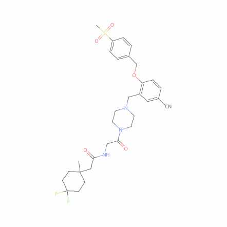 CC1(CC(=O)NCC(=O)N2CCN(Cc3cc(C#N)ccc3OCc3ccc(S(C)(=O)=O)cc3)CC2)CCC(F)(F)CC1